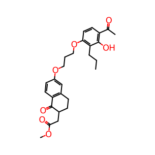 CCCc1c(OCCCOc2ccc3c(c2)CCC(CC(=O)OC)C3=O)ccc(C(C)=O)c1O